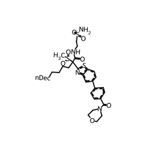 CCCCCCCCCCCCCCC(C(=O)NCCS(N)(=O)=O)(c1nc2cc(-c3ccc(C(=O)N4CCOCC4)cc3)ccc2s1)S(C)(=O)=O